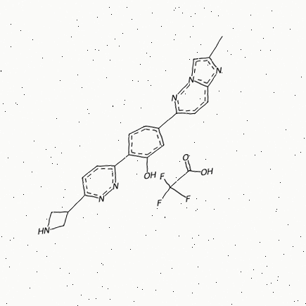 Cc1cn2nc(-c3ccc(-c4ccc(C5CNC5)nn4)c(O)c3)ccc2n1.O=C(O)C(F)(F)F